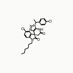 CCCCCCN1C(=O)[C@]2(CC(=O)Nc3c2nnn3C(C)c2ccc(Cl)cc2)c2cc(Cl)ccc21